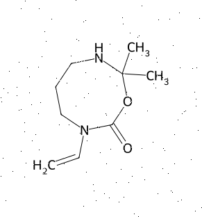 C=CN1CCCNC(C)(C)OC1=O